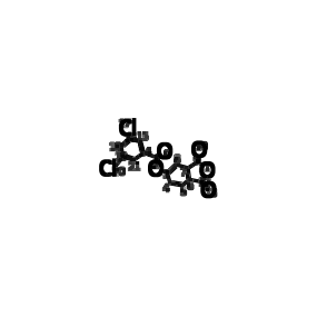 O=C(Oc1ccc2c(c1)C(=O)OC2=O)c1cc(Cl)cc(Cl)c1